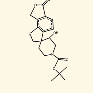 CC(C)(C)OC(=O)N1CCC2(COc3c2ccc2c3COC2=O)C(O)C1